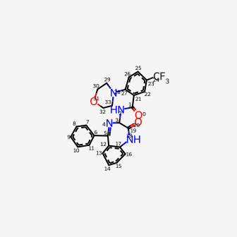 O=C(NC1N=C(c2ccccc2)c2ccccc2NC1=O)c1cc(C(F)(F)F)ccc1N1CCOCC1